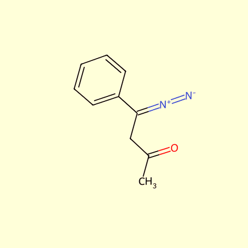 CC(=O)CC(=[N+]=[N-])c1ccccc1